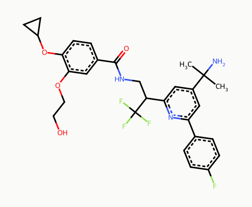 CC(C)(N)c1cc(-c2ccc(F)cc2)nc(C(CNC(=O)c2ccc(OC3CC3)c(OCCO)c2)C(F)(F)F)c1